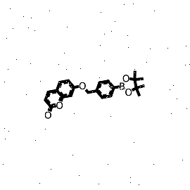 CC1(C)OB(c2ccc(COc3ccc4ccc(=O)oc4c3)cc2)OC1(C)C